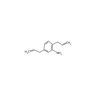 C=CCc1ccc(CC=C)c(N)c1